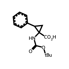 CC(C)(C)OC(=O)NC1(C(=O)O)CC1c1ccccc1